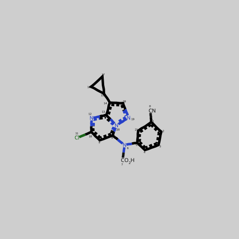 N#Cc1cccc(N(C(=O)O)c2cc(Cl)nc3c(C4CC4)cnn23)c1